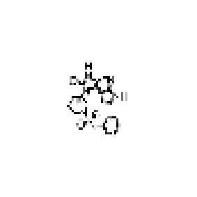 O=c1[nH]c2cnc3[nH]ccc3c2n1[C@@H]1CCCN(S(=O)(=O)Cc2ccccc2)C1